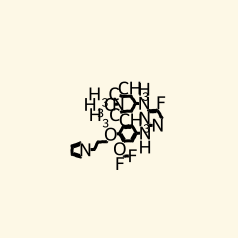 CN1C(C)(C)CC(Nc2nc(Nc3ccc(OCCCn4cccc4)c(OC(F)F)c3)ncc2F)CC1(C)C